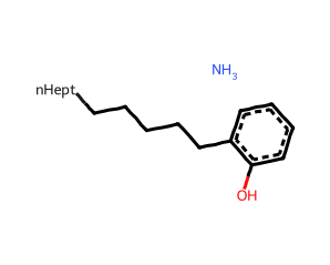 CCCCCCCCCCCCc1ccccc1O.N